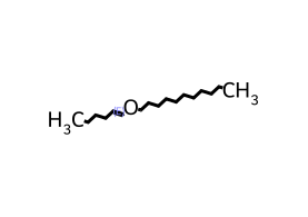 CCCC/C=C/OCCCCCCCCCCC